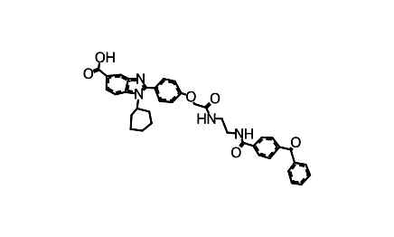 O=C(COc1ccc(-c2nc3cc(C(=O)O)ccc3n2C2CCCCC2)cc1)NCCNC(=O)c1ccc(C(=O)c2ccccc2)cc1